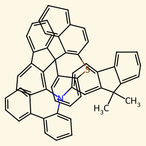 CC1(C)c2ccccc2-c2ccc(N(c3ccccc3-c3ccccc3)c3cccc4c3C3(c5ccccc5Sc5ccc6ccccc6c53)c3ccccc3-4)cc21